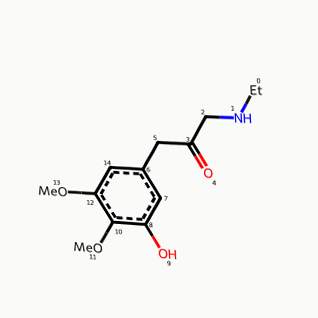 CCNCC(=O)Cc1cc(O)c(OC)c(OC)c1